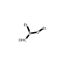 CCON(C=O)CC